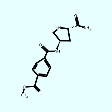 COC(=O)c1ccc(C(=O)N[C@H]2CN[C@H](C(N)=O)C2)cc1